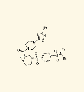 CCN(CC)S(=O)(=O)c1ccc(S(=O)(=O)N2CCC3CC3(C(=O)N3CCN(c4nc(C(C)C)no4)CC3)C2)cc1